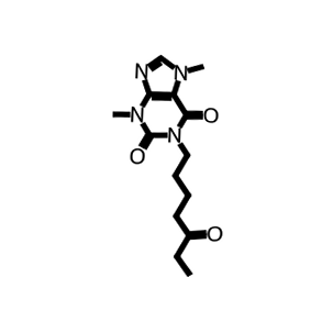 CCC(=O)CCCCn1c(=O)c2c(ncn2C)n(C)c1=O